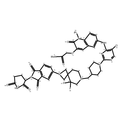 CNC(=O)COc1cc2cc(Nc3nc(N4CCC(CN5CCC6(CN(c7ccc8c(c7)C(=O)N(C7CCC(=O)NC7=O)C8=O)C6)C(F)(F)C5)CC4)ncc3Cl)ccc2n(C(C)C)c1=O